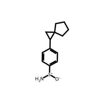 N[S+]([O-])c1ccc(C2CC23CCCC3)cc1